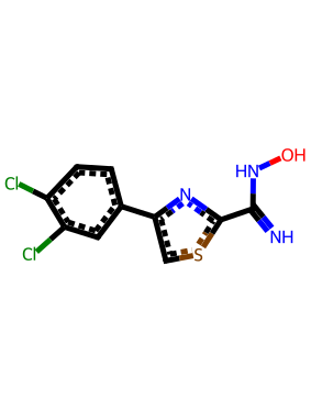 N=C(NO)c1nc(-c2ccc(Cl)c(Cl)c2)cs1